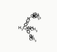 Cc1ccc(N2CCN(CCO[Si](C)(C)C(C)(C)C)CC2)cc1C(=O)N[C@H](C)c1cccc(-c2cnn(C)c2)c1